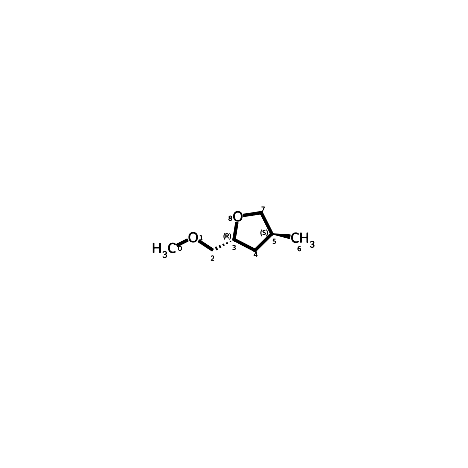 COC[C@H]1C[C@H](C)CO1